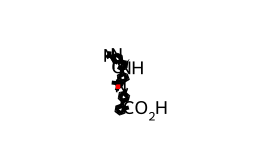 Cc1c(C)n(Cc2ccc(-c3ccccc3C(=O)O)cc2)c2ccc(C(=O)N[C@@H](C)c3cnc(N(C)C)cn3)cc12